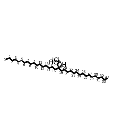 CCCCCCCCCCCCCCCCCC(O)CCCCCCCCCCCCCCCC.Cl.Cl